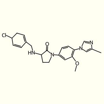 COc1cc(N2CCC(NCC3=CCC(Cl)C=C3)C2=O)ccc1-n1cnc(C)c1